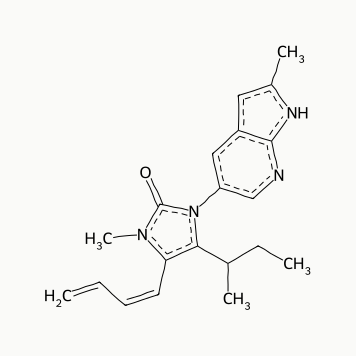 C=C/C=C\c1c(C(C)CC)n(-c2cnc3[nH]c(C)cc3c2)c(=O)n1C